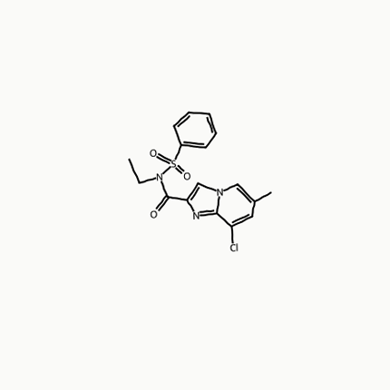 CCN(C(=O)c1cn2cc(C)cc(Cl)c2n1)S(=O)(=O)c1ccccc1